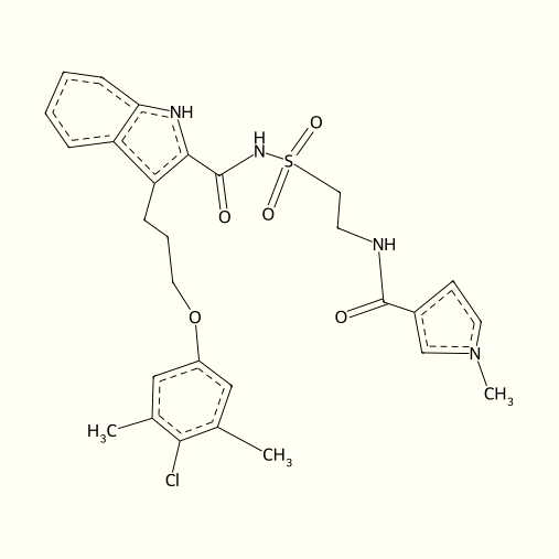 Cc1cc(OCCCc2c(C(=O)NS(=O)(=O)CCNC(=O)c3ccn(C)c3)[nH]c3ccccc23)cc(C)c1Cl